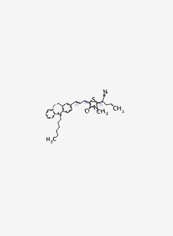 C=CC/C(C#N)=c1/s/c(=C/C=C/c2ccc3c(c2)CCc2ccccc2N3CCCCCC)c(=O)n1C